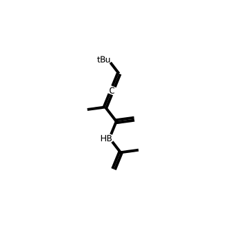 C=C(C)BC(=C)C(C)=C=CC(C)(C)C